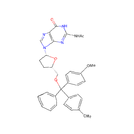 COc1ccc(C(OC[C@@H]2CC[C@H](n3cnc4c(=O)[nH]c(NC(C)=O)nc43)O2)(c2ccccc2)c2ccc(OC)cc2)cc1